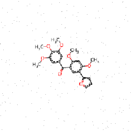 COc1cc(OC)c(-c2ccco2)cc1C(=O)c1cc(OC)c(OC)c(OC)c1